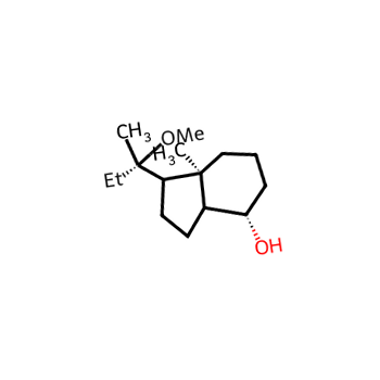 CC[C@](C)(OC)C1CCC2[C@@H](O)CCC[C@@]21C